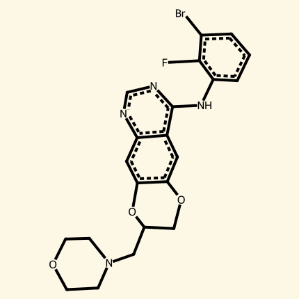 Fc1c(Br)cccc1Nc1ncnc2cc3c(cc12)OCC(CN1CCOCC1)O3